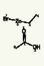 CC(=O)O.C[CH2][Zn][Br]